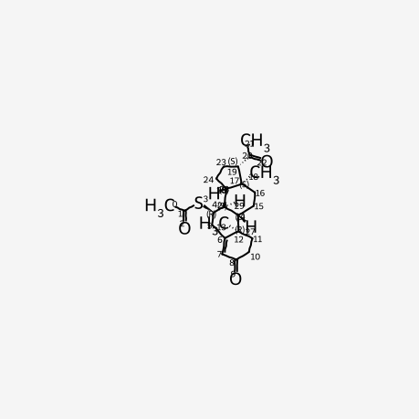 CC(=O)S[C@@H]1CC2=CC(=O)CC[C@]2(C)[C@H]2CC[C@]3(C)[C@@H](C(C)=O)CC[C@H]3[C@H]12